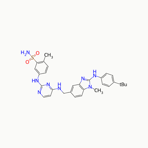 Cc1ccc(Nc2nccc(NCc3ccc4c(c3)nc(Nc3ccc(C(C)(C)C)cc3)n4C)n2)cc1S(N)(=O)=O